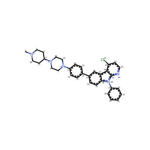 CN1CCC(N2CCN(c3ccc(-c4ccc5c(c4)c4c(Cl)ccnc4n5-c4ccccc4)cc3)CC2)CC1